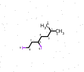 CC(C)CCC(I)CCI